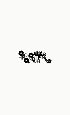 C/C(=C\c1[nH]c(C)c(C(=O)NCCN2CCCC2)c1C)c1cccc(Nc2cc(NC(=O)c3ccccc3)ccc2C)c1NCO